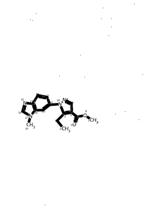 CCc1c(C(=O)OC)cnn1-c1ccc2ncn(C)c2c1